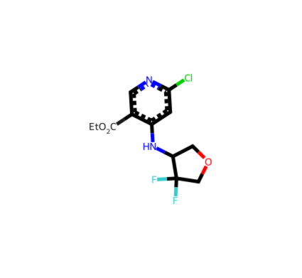 CCOC(=O)c1cnc(Cl)cc1NC1COCC1(F)F